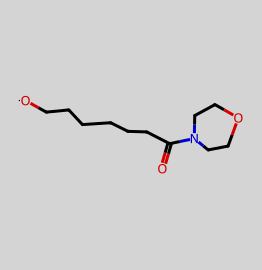 [O]CCCCCCC(=O)N1CCOCC1